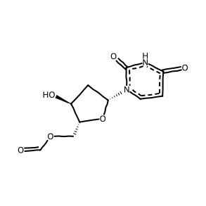 O=COC[C@H]1O[C@@H](n2ccc(=O)[nH]c2=O)C[C@@H]1O